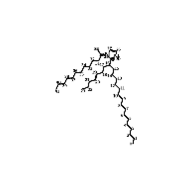 CCCCCCCCCCCCCCCCC(CCCCCCC)c1nccn1C(C)CCCCCCCCCCC